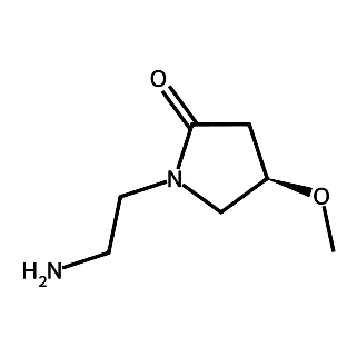 CO[C@@H]1CC(=O)N(CCN)C1